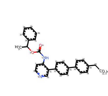 CC(OC(=O)Nc1ccncc1-c1ccc(-c2ccc(CC(=O)O)cc2)cc1)c1ccccc1